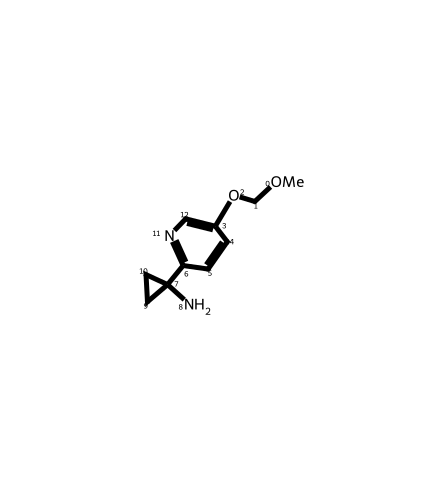 COCOc1ccc(C2(N)CC2)nc1